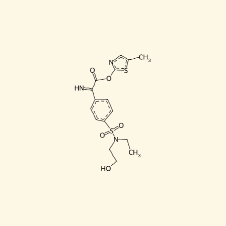 CCN(CCO)S(=O)(=O)c1ccc(C(=N)C(=O)Oc2ncc(C)s2)cc1